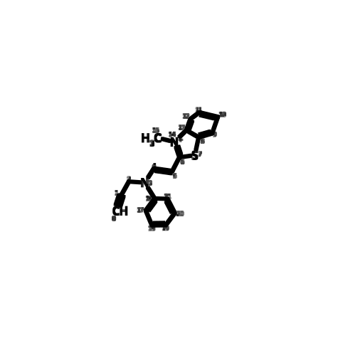 C#CCN(C=Cc1sc2ccccc2[n+]1C)c1ccccc1